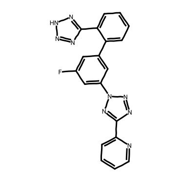 Fc1cc(-c2ccccc2-c2nn[nH]n2)cc(-n2nnc(-c3ccccn3)n2)c1